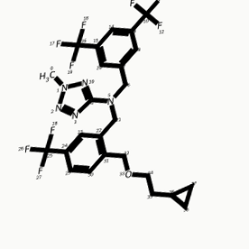 Cn1nnc(N(Cc2cc(C(F)(F)F)cc(C(F)(F)F)c2)Cc2cc(C(F)(F)F)ccc2COCCC2CC2)n1